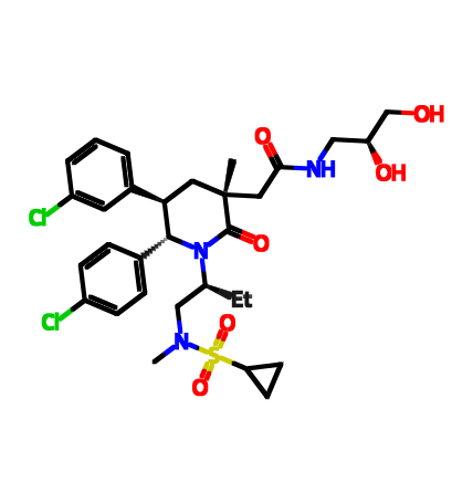 CC[C@@H](CN(C)S(=O)(=O)C1CC1)N1C(=O)[C@@](C)(CC(=O)NC[C@H](O)CO)C[C@H](c2cccc(Cl)c2)[C@H]1c1ccc(Cl)cc1